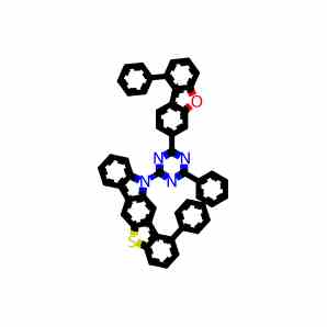 c1ccc(-c2nc(-c3ccc4c(c3)oc3cccc(-c5ccccc5)c34)nc(-n3c4ccccc4c4cc5sc6cccc(-c7ccccc7)c6c5cc43)n2)cc1